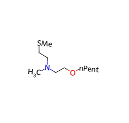 CCCCCOCCN(C)CCSC